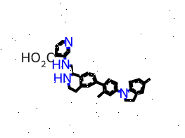 Cc1ccc2c(c1)CCN2c1ccc(-c2ccc3c(c2)CCN[C@H]3CNc2cnccc2C(=O)O)c(C)c1